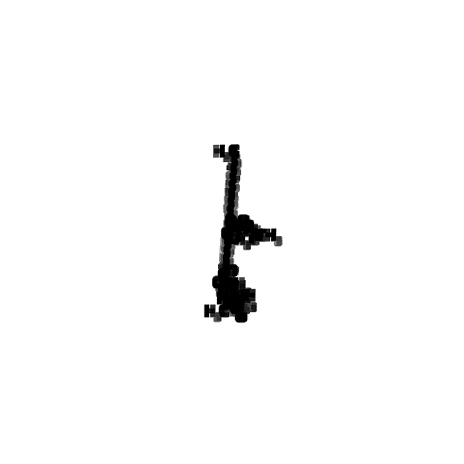 CCCCCCCCCCCCCCCCCOCC(COP(=O)(O)OCCN(C)C)OC(=O)CCCCCCCC(=O)OCC(=O)[C@]1(O)CC[C@@H]2[C@@]3(C)C[C@@H](C)C4=CC(=O)C=C[C@@]4(C)[C@@H]3[C@H](O)C[C@]21C